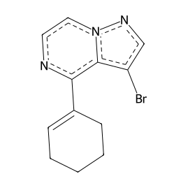 Brc1cnn2ccnc(C3=CCCCC3)c12